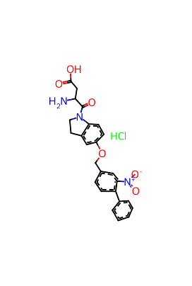 Cl.NC(CC(=O)O)C(=O)N1CCc2cc(OCc3ccc(-c4ccccc4)c([N+](=O)[O-])c3)ccc21